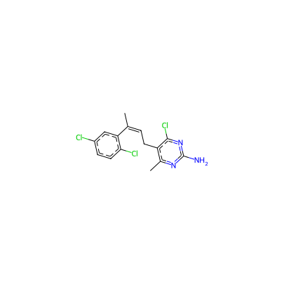 CC(=CCc1c(C)nc(N)nc1Cl)c1cc(Cl)ccc1Cl